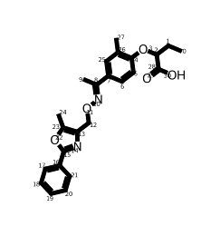 CCC(Oc1ccc(C(C)=NOCc2nc(-c3ccccc3)oc2C)cc1C)C(=O)O